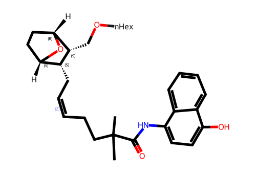 CCCCCCOC[C@@H]1[C@H](C/C=C\CCC(C)(C)C(=O)Nc2ccc(O)c3ccccc23)[C@@H]2CC[C@H]1O2